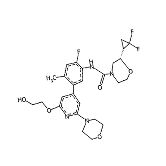 Cc1cc(F)c(NC(=O)N2CCO[C@@H](C3CC3(F)F)C2)cc1-c1cc(OCCO)nc(N2CCOCC2)c1